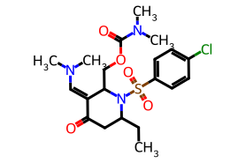 CCC1CC(=O)C(=CN(C)C)C(COC(=O)N(C)C)N1S(=O)(=O)c1ccc(Cl)cc1